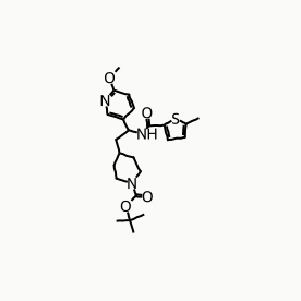 COc1ccc(C(CC2CCN(C(=O)OC(C)(C)C)CC2)NC(=O)c2ccc(C)s2)cn1